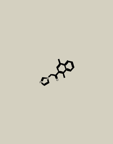 Cc1cc(C(=O)Cn2ccnc2)c(C)c2ccccc12